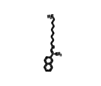 CCCCCCCCCOC=C(C)c1ccc2ccccc2c1